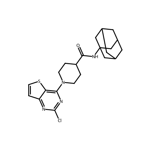 O=C(NC12CC3CC(CC(C3)C1)C2)C1CCN(c2nc(Cl)nc3ccsc23)CC1